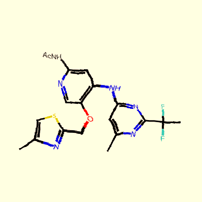 CC(=O)Nc1cc(Nc2cc(C)nc(C(C)(F)F)n2)c(OCc2nc(C)cs2)cn1